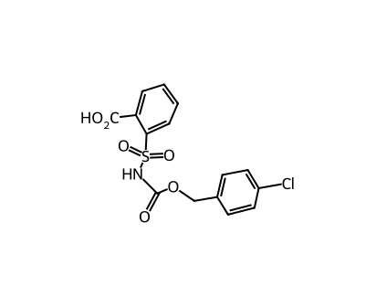 O=C(NS(=O)(=O)c1ccccc1C(=O)O)OCc1ccc(Cl)cc1